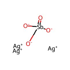 [Ag+].[Ag+].[Ag+].[O]=[Sb]([O-])([O-])[O-]